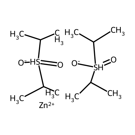 CC(C)[SH](=O)([O-])C(C)C.CC(C)[SH](=O)([O-])C(C)C.[Zn+2]